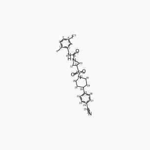 Cc1ccc(F)cc1NC(=O)N1CC(S(=O)(=O)N2CCC(c3ccc(C#N)cc3)CC2)C1